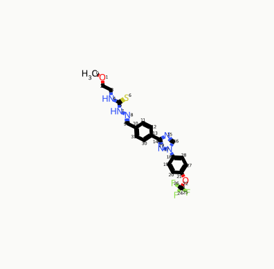 COCCNC(=S)N/N=C/c1ccc(-c2ncn(-c3ccc(OC(F)(F)F)cc3)n2)cc1